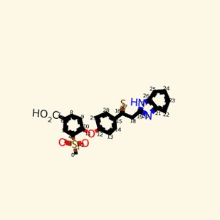 CS(=O)(=O)c1cc(C(=O)O)ccc1Oc1ccc(C(=S)Cc2nc3ccccc3[nH]2)cc1